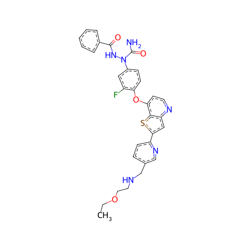 CCOCCNCc1ccc(-c2cc3nccc(Oc4ccc(N(NC(=O)c5ccccc5)C(N)=O)cc4F)c3s2)nc1